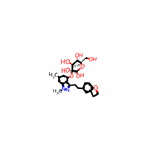 Cc1cc(O[C@]2(O)[C@H](O)O[C@H](CO)[C@@H](O)[C@@H]2O)c2c(CCc3ccc4c(c3)CCO4)nn(C)c2c1